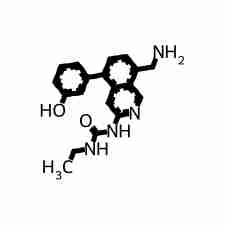 CCNC(=O)Nc1cc2c(-c3cccc(O)c3)ccc(CN)c2cn1